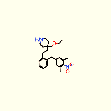 CCOCC1(CCc2ccccc2Cc2cc(C)c([N+](=O)[O-])c(C)c2)CCNCC1